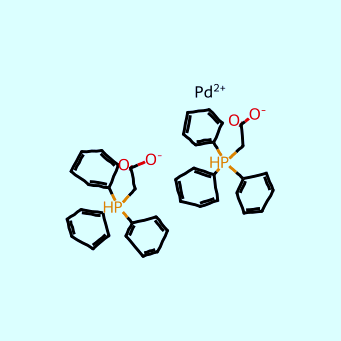 O=C([O-])C[PH](c1ccccc1)(c1ccccc1)c1ccccc1.O=C([O-])C[PH](c1ccccc1)(c1ccccc1)c1ccccc1.[Pd+2]